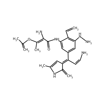 C=Cc1c(NN)cc(C(/C=C\N)=c2\cc(C)[nH]c2=C)cc1NC(=O)/C(N)=C(\C)OC(=C)C